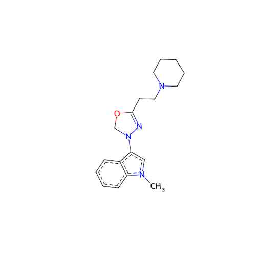 Cn1cc(N2COC(CCN3CCCCC3)=N2)c2ccccc21